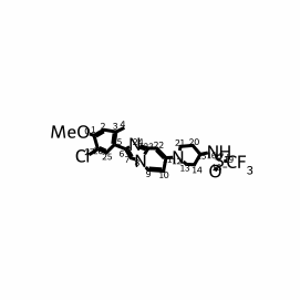 COc1cc(C)c(-c2cn3ccc(N4CCC(N[S+]([O-])C(F)(F)F)CC4)cc3n2)cc1Cl